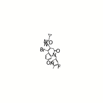 Cc1ccc(CN2C(=O)CC(c3nnc(C4CC4)o3)=C(Br)c3ccc(O)cc32)cc1F